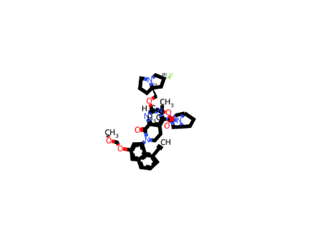 C#Cc1cccc2cc(OCOC)cc(N3CCc4c(nc(OC[C@@]56CCCN5C[C@H](F)C6)nc4N4CC5CCC(C4)N5C(=O)OC(C)(C)C)C3=O)c12